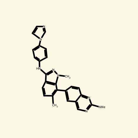 CNc1ncc2cc(-c3c(C)ccc4c(Nc5ccc(-n6ccnc6)cc5)nn(C)c34)ccc2n1